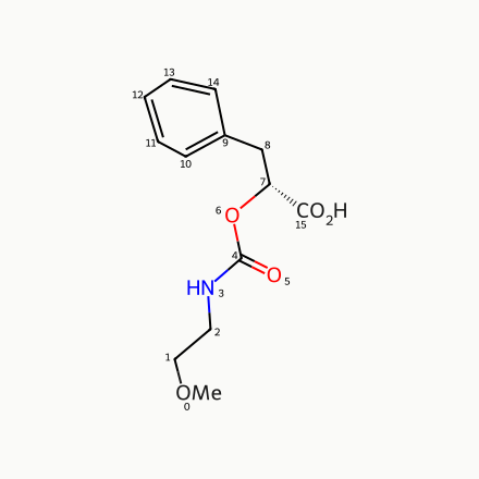 COCCNC(=O)O[C@H](Cc1ccccc1)C(=O)O